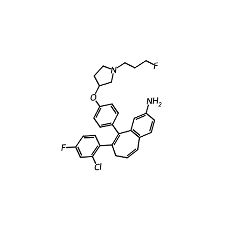 Nc1ccc2c(c1)C(c1ccc(OC3CCN(CCCF)C3)cc1)=C(c1ccc(F)cc1Cl)CC=C2